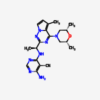 Cc1ccn2nc([C@H](C)Nc3ncnc(N)c3C#N)nc(N3C[C@@H](C)O[C@@H](C)C3)c12